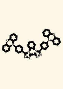 c1ccc2c(c1)Sc1ccccc1N2c1ccc(-c2nnc3c4nnc(-c5ccc(N6c7ccccc7Sc7ccccc76)cc5)n4c4ccccc4n23)cc1